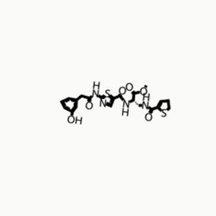 COC(=O)[C@H](CNC(=O)C1=CCCS1)NC(=O)c1cnc(NC(=O)Cc2cccc(O)c2)s1